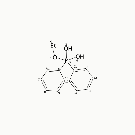 CCOP(O)(O)(c1ccccc1)c1ccccc1